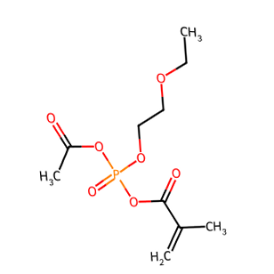 C=C(C)C(=O)OP(=O)(OCCOCC)OC(C)=O